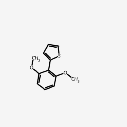 COc1cccc(OC)c1-c1cc[c]s1